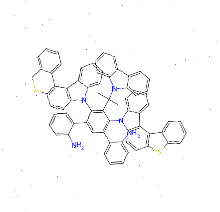 CC(C)(c1c(-n2c3ccccc3c3c4c(ccc32)SCc2ccccc2-4)c(-c2ccccc2N)cc(-c2ccccc2N)c1-n1c2ccccc2c2c3c(ccc21)sc1ccccc13)n1c2ccccc2c2ccccc21